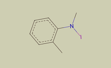 Cc1ccccc1N(C)I